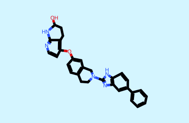 OC1CCc2c(Oc3ccc4c(c3)CN(c3nc5cc(-c6ccccc6)ccc5[nH]3)CC4)ccnc2N1